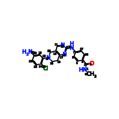 CNC(=O)c1ccc(Nc2ncc3c(n2)CCN(c2cc(N)ccc2Cl)C3)cc1